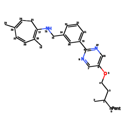 CCCCCC(C)CCOc1cnc(-c2cccc(CNC3=C(C)C=CC(C)=CC3)c2)nc1